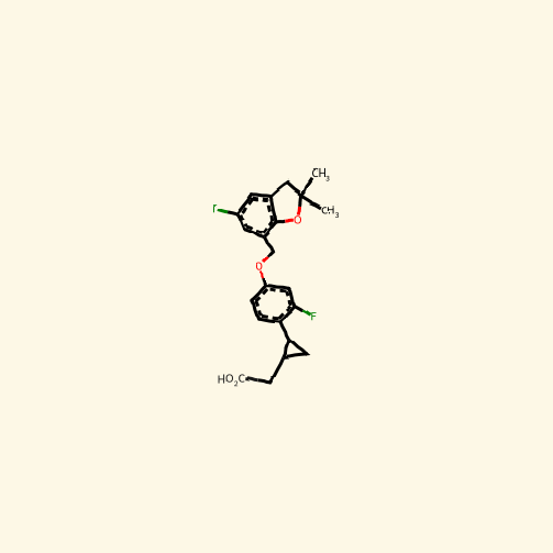 CC1(C)Cc2cc(F)cc(COc3ccc(C4CC4CC(=O)O)c(F)c3)c2O1